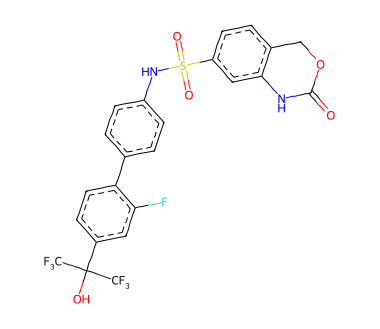 O=C1Nc2cc(S(=O)(=O)Nc3ccc(-c4ccc(C(O)(C(F)(F)F)C(F)(F)F)cc4F)cc3)ccc2CO1